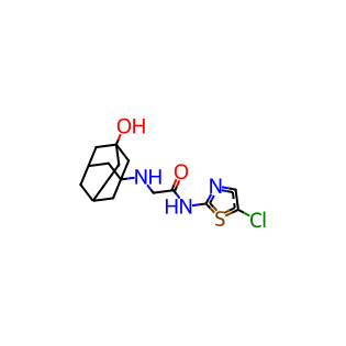 O=C(CNC12CC3CC(CC(O)(C3)C1)C2)Nc1ncc(Cl)s1